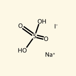 O=S(=O)(O)O.[I-].[Na+]